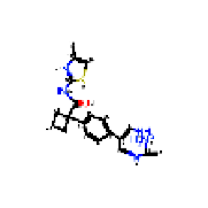 C=C(N)/N=C\C(=C/N)c1ccc(C2(C(=O)Nc3nc(C)cs3)CCC2)cc1